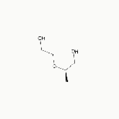 C[C@H](CO)OCCO